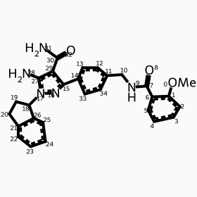 COc1ccccc1C(=O)NCc1ccc(-c2nn(C3CCc4ccccc43)c(N)c2C(N)=O)cc1